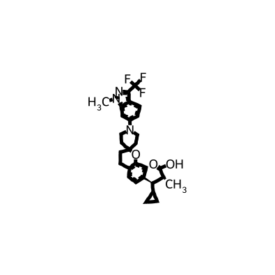 C[C@H](C(=O)O)[C@H](c1ccc2c(c1)OC1(CC2)CCN(c2ccc3c(C(F)(F)F)nn(C)c3c2)CC1)C1CC1